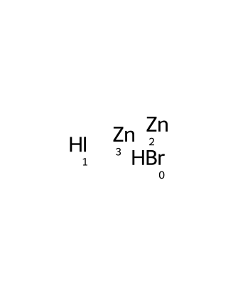 Br.I.[Zn].[Zn]